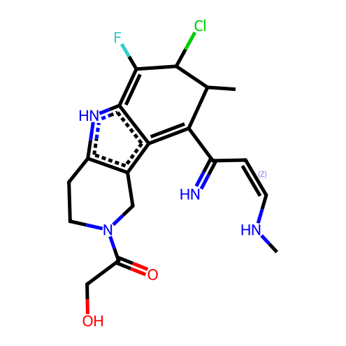 CN/C=C\C(=N)C1=c2c3c([nH]c2=C(F)C(Cl)C1C)CCN(C(=O)CO)C3